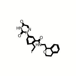 O=C(NCC1OCCc2ccccc21)c1cc(-n2ncc(=O)[nH]c2=O)ccc1CI